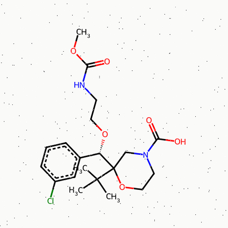 COC(=O)NCCO[C@@H](c1cccc(Cl)c1)C1(C(C)(C)C)CN(C(=O)O)CCO1